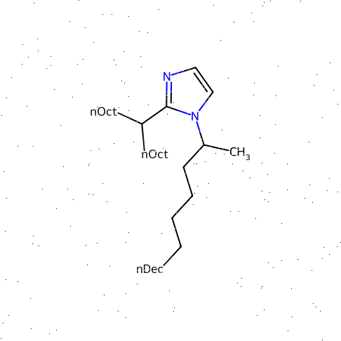 CCCCCCCCCCCCCCC(C)n1ccnc1C(CCCCCCCC)CCCCCCCC